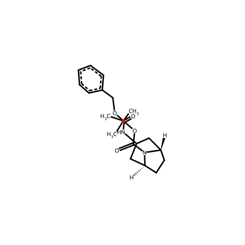 CC(C)(C)OC(=O)N1[C@H]2CC[C@H]1CC(NC(=O)OCc1ccccc1)C2